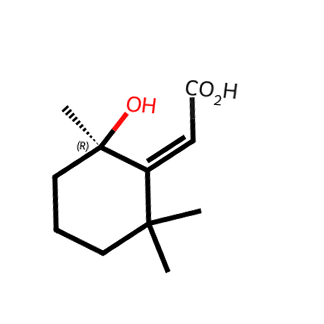 CC1(C)CCC[C@@](C)(O)C1=CC(=O)O